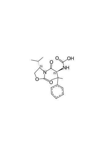 CC(C)[C@H]1COC(=O)N1C(=O)[C@@H](NC(=O)O)C(C)(C)c1ccccc1